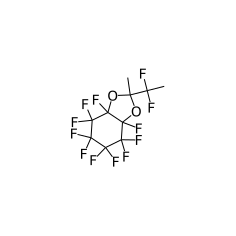 CC(F)(F)C1(C)OC2(F)C(F)(F)C(F)(F)C(F)(F)C(F)(F)C2(F)O1